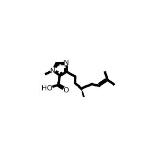 CC(C)=CC[C@@H](C)CCc1ncn(C)c1C(=O)O